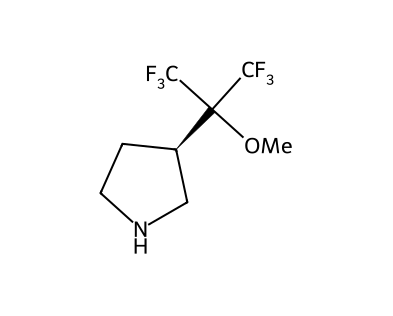 COC([C@@H]1CCNC1)(C(F)(F)F)C(F)(F)F